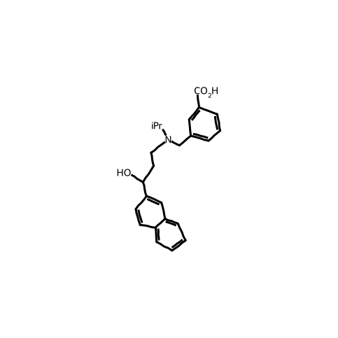 CC(C)N(CCC(O)c1ccc2ccccc2c1)Cc1cccc(C(=O)O)c1